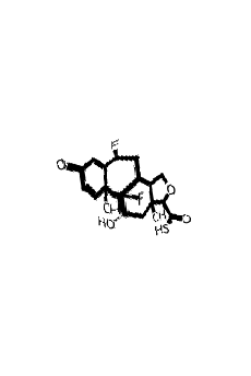 CC12C[C@H](O)[C@@]3(F)C(C[C@H](F)C4=CC(=O)C=CC43C)C1COC2C(=O)S